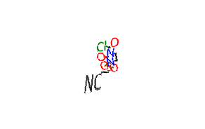 N#CCCS(=O)(=O)N1CCN(C(=O)Cl)C1=O